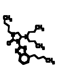 CCCCc1cccc2nc(N3C(=O)N(CCCC)CC3N(CCC)CCC)sc12